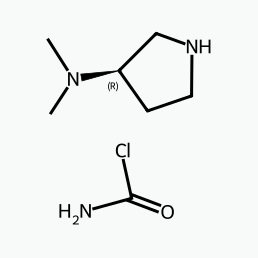 CN(C)[C@@H]1CCNC1.NC(=O)Cl